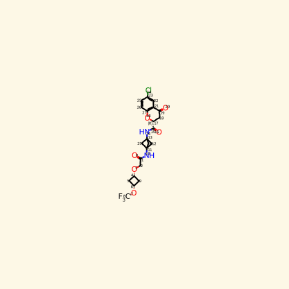 O=C(CO[C@H]1C[C@@H](OC(F)(F)F)C1)NC12CC(NC(=O)[C@H]3CC(=O)c4cc(Cl)ccc4O3)(C1)C2